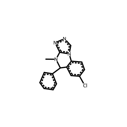 CN1c2nncn2-c2ccc(Cl)cc2C1c1ccccc1